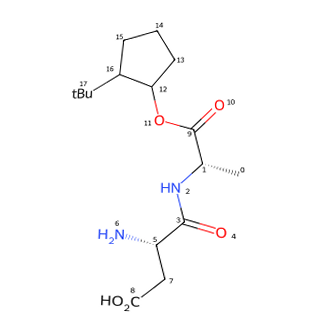 C[C@H](NC(=O)[C@@H](N)CC(=O)O)C(=O)OC1CCCC1C(C)(C)C